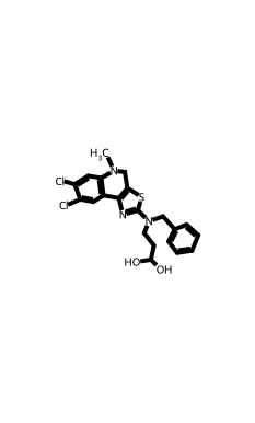 CN1Cc2sc(N(CCC(O)O)Cc3ccccc3)nc2-c2cc(Cl)c(Cl)cc21